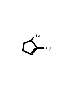 CCCCC1CCC=C1C(=O)O